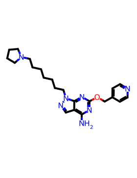 Nc1nc(OCc2ccncc2)nc2c1cnn2CCCCCCCN1CCCC1